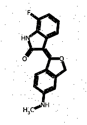 CNc1ccc2c(c1)CO/C2=C1/C(=O)Nc2c(F)cccc21